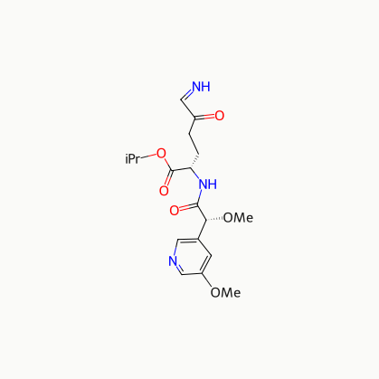 COc1cncc([C@@H](OC)C(=O)N[C@@H](CCC(=O)C=N)C(=O)OC(C)C)c1